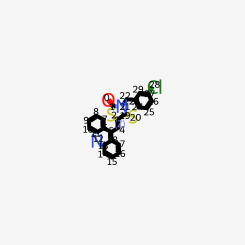 O=C1S/C(=C\c2c3ccccc3nc3ccccc23)C(=S)N1Cc1cccc(Cl)c1